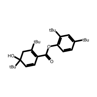 CC(C)(C)C1=C(C(=O)Oc2ccc(C(C)(C)C)cc2C(C)(C)C)C=CC(O)(C(C)(C)C)C1